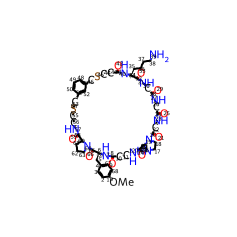 COc1ccc(C[C@@H]2NC(=O)CCNC(=O)[C@@H]3NCCN3C(=O)CNC(=O)CNC(=O)CNC(=O)[C@H](CCCCN)NC(=O)CCSCc3cccc(c3)CSCCNC(=O)C3CCCN3C2=O)cc1